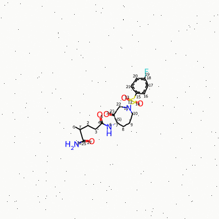 CC(C[CH]C(=O)N[C@H]1CCCN(S(=O)(=O)c2ccc(F)cc2)CC1=O)C(N)=O